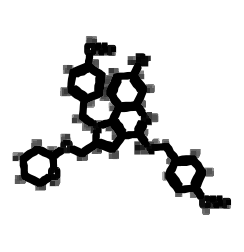 COc1ccc(CNc2nc3cc(Br)ccc3c3c2cc(COC2CCCCO2)n3Cc2ccc(OC)cc2)cc1